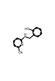 N#Cc1cccc(NCc2ccccc2O)n1